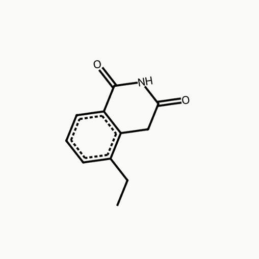 CCc1cccc2c1CC(=O)NC2=O